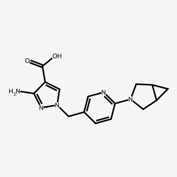 Nc1nn(Cc2ccc(N3CC4CC4C3)nc2)cc1C(=O)O